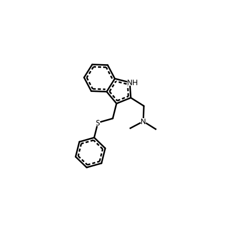 CN(C)Cc1[nH]c2ccccc2c1CSc1ccccc1